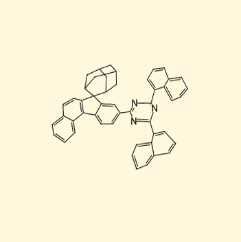 c1ccc2c(-c3nc(-c4ccc5c(c4)C4(c6ccc7ccccc7c6-5)C5CC6CC(C5)CC4C6)nc(-c4cccc5ccccc45)n3)cccc2c1